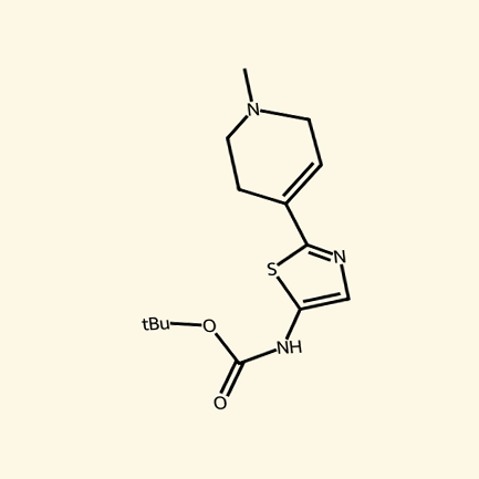 CN1CC=C(c2ncc(NC(=O)OC(C)(C)C)s2)CC1